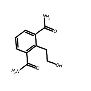 NC(=O)c1cccc(C(N)=O)c1CCO